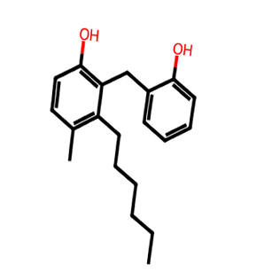 CCCCCCc1c(C)ccc(O)c1Cc1ccccc1O